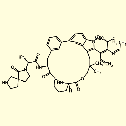 C=C/C(=C(\N=C/C)[C@H](C)OC)c1c2c3cc(ccc3n1CC)-c1cccc(c1)C[C@H](NC(=O)[C@H](C(C)C)N1CC[C@]3(CCNC3)C1=O)C(=O)N1CCC[C@H](N1)C(=O)OCC(C)(C)C2